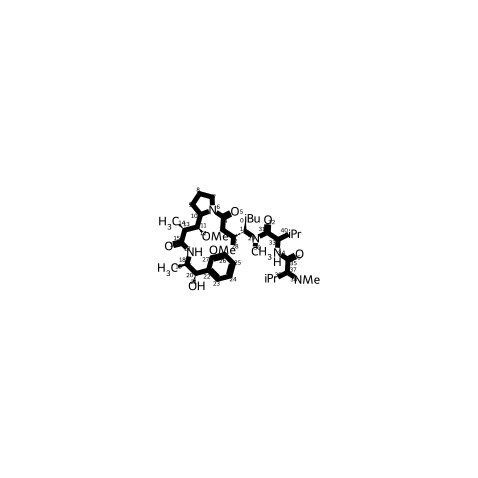 CC[C@H](C)[C@@H](C(CC(=O)N1CCCC1[C@H](OC)[C@@H](C)C(=O)N[C@H](C)[C@@H](O)c1ccccc1)OC)N(C)C(=O)C(NC(=O)C(NC)C(C)C)C(C)C